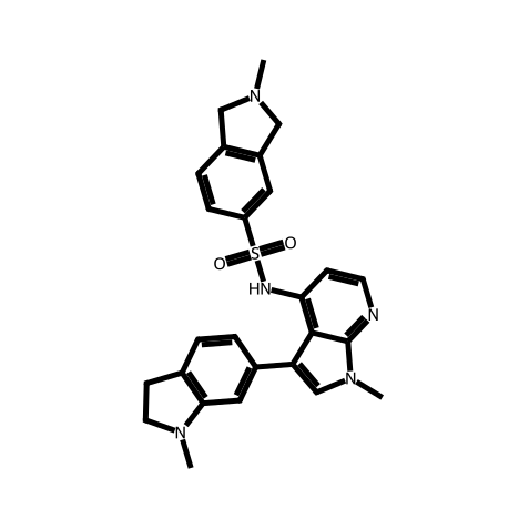 CN1Cc2ccc(S(=O)(=O)Nc3ccnc4c3c(-c3ccc5c(c3)N(C)CC5)cn4C)cc2C1